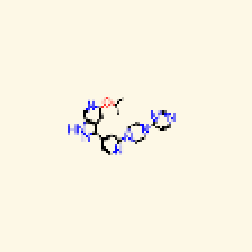 CC(C)Oc1cc2c(-c3ccnc(N4CCN(c5ccncn5)CC4)c3)n[nH]c2cn1